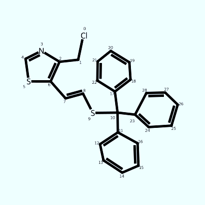 ClCc1ncsc1C=CSC(c1ccccc1)(c1ccccc1)c1ccccc1